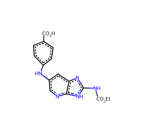 CCOC(=O)Nc1nc2cc(Nc3ccc(C(=O)O)cc3)cnc2[nH]1